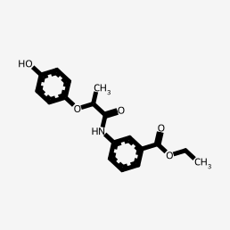 CCOC(=O)c1cccc(NC(=O)C(C)Oc2ccc(O)cc2)c1